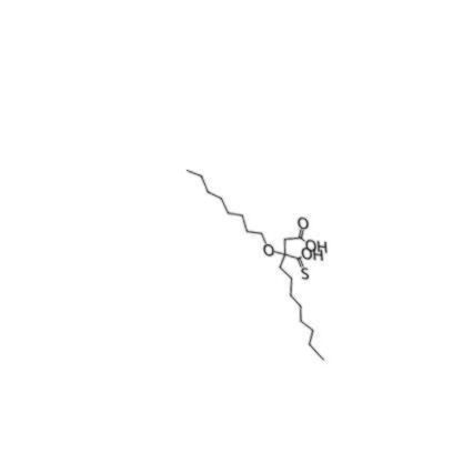 CCCCCCCCOC(CCCCCCCC)(CC(=O)O)C(O)=S